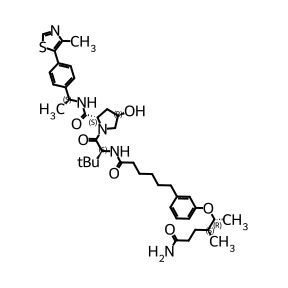 Cc1ncsc1-c1ccc([C@H](C)NC(=O)[C@@H]2C[C@@H](O)CN2C(=O)[C@@H](NC(=O)CCCCCc2cccc(O[C@H](C)[C@@H](C)CCC(N)=O)c2)C(C)(C)C)cc1